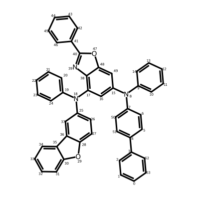 c1ccc(-c2ccc(N(c3ccccc3)c3cc(N(c4ccccc4)c4ccc5oc6ccccc6c5c4)c4nc(-c5ccccc5)oc4c3)cc2)cc1